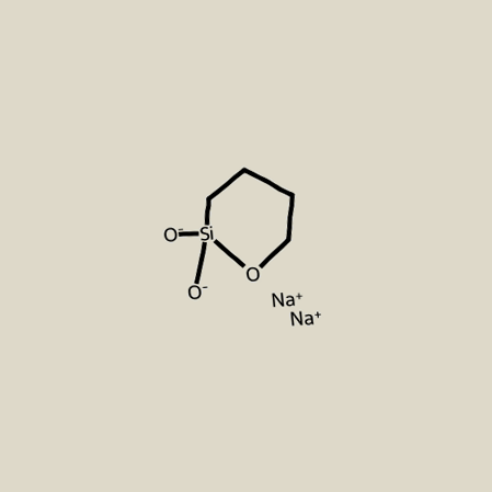 [Na+].[Na+].[O-][Si]1([O-])CCCCO1